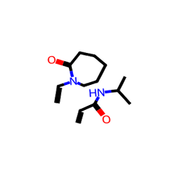 C=CC(=O)NC(C)C.C=CN1CCCCCC1=O